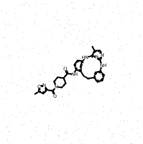 Cc1cc(C(=O)N2CCC(C(=O)Nc3ccc4cc3CCc3cccc(c3)Nc3ncc(C)c(n3)N4)CC2)no1